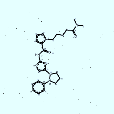 CN(C)C(=O)CCCCn1cccc1C(=O)Nc1nc(C2CCCN2c2ccccc2)cs1